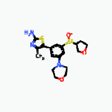 Nc1nc(C(F)(F)F)c(-c2cc(N3CCOCC3)cc([S+]([O-])C3CCOC3)c2)s1